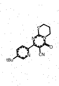 CC(C)(C)c1ccc(-c2nc3n(c(=O)c2C#N)CCCS3)nc1